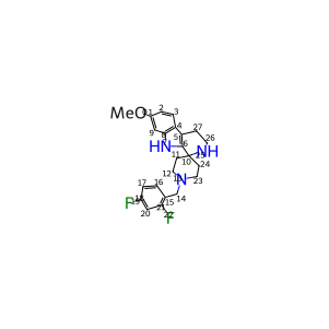 COc1ccc2c3c([nH]c2c1)C1(CCN(Cc2ccc(F)cc2F)CC1)NCC3